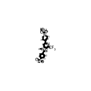 Cn1c(-c2ccc(S(C)(=O)=O)cc2)nc2c(C(F)(F)F)nc(C3=CCN(C(=O)OC(C)(C)C)CC3)cc21